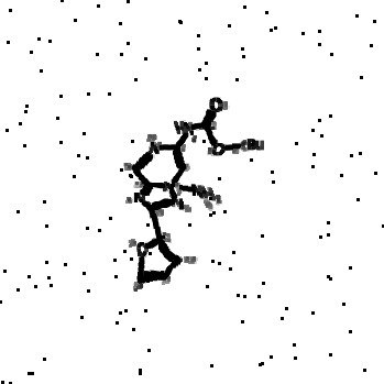 CC(C)(C)OC(=O)NC1=C[N+]2(N)N=C(c3ccco3)N=C2C=N1